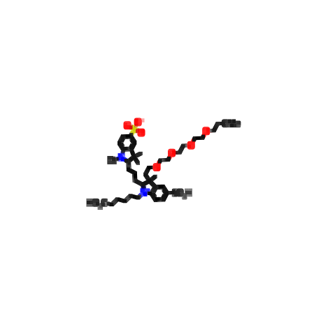 CCN1/C(=C/C=C/C2=[N+](CCCCCC(=O)O)c3ccc(S(=O)(=O)O)cc3C2(C)CCOCCOCCOCCOCCOC)C(C)(C)c2cc(S(=O)(=O)[O-])ccc21